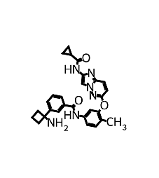 Cc1ccc(NC(=O)c2cccc(C3(N)CCC3)c2)cc1Oc1ccc2nc(NC(=O)C3CC3)cn2n1